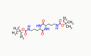 CC(C)(C)OC(=O)NCCCC1NC(=O)C(CCCNC(=O)OC(C)(C)C)NC1=O